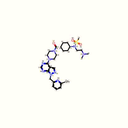 CCCc1cccc(Cn2ncc3c(N4CCN(C(=O)[C@H]5CC[C@H](N(CCN(C)C)S(C)(=O)=O)CC5)CC4)ncnc32)n1